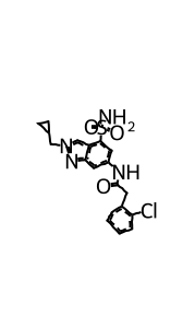 NS(=O)(=O)c1cc(NC(=O)Cc2ccccc2Cl)cc2nn(CC3CC3)cc12